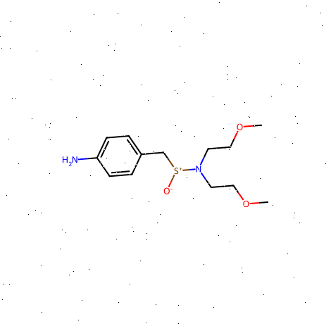 COCCN(CCOC)[S+]([O-])Cc1ccc(N)cc1